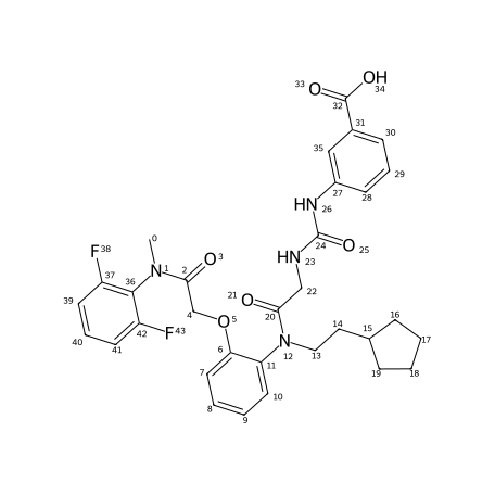 CN(C(=O)COc1ccccc1N(CCC1CCCC1)C(=O)CNC(=O)Nc1cccc(C(=O)O)c1)c1c(F)cccc1F